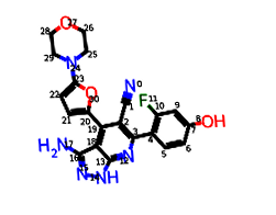 N#Cc1c(-c2ccc(O)cc2F)nc2[nH]nc(N)c2c1-c1ccc(N2CCOCC2)o1